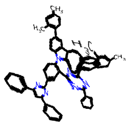 Cc1ccc(-c2ccc3c(c2)c2cc(-c4ccc(C)cc4C)ccc2n3-c2ccc(-c3nc(-c4ccccc4)cc(-c4ccccc4)n3)cc2-c2nc(-c3ccccc3)nc(-c3ccccc3)n2)c(C)c1